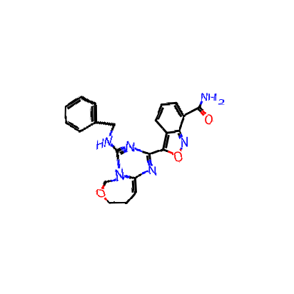 NC(=O)c1cccc2c(C3=NC4=CCCOCN4C(NCc4ccccc4)=N3)onc12